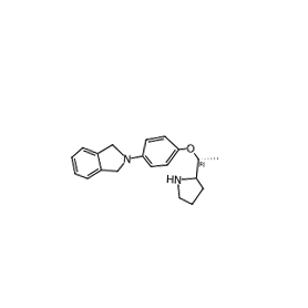 C[C@@H](Oc1ccc(N2Cc3ccccc3C2)cc1)C1CCCN1